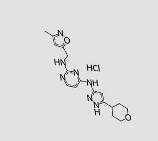 Cc1cc(CNc2nccc(Nc3cc(C4CCOCC4)[nH]n3)n2)on1.Cl